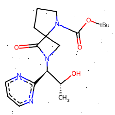 C[C@@H](O)[C@@H](c1ncccn1)N1CC2(CCCN2C(=O)OC(C)(C)C)C1=O